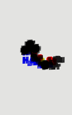 CCCN(C(=O)OC(C)(C)C)[C@H]1CCc2nc(NC(=O)[C@@H](N)CCC(=O)NC(c3ccccc3)(c3ccccc3)c3ccccc3)sc2C1